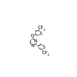 FC(F)(F)c1cc(Oc2ccnc(-c3csc(C(F)(F)F)c3)n2)cs1